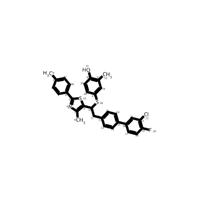 Cc1ccc(-c2nc(C)c(C(Cc3ccc(-c4ccc(F)c(Cl)c4)cc3)Sc3ccc(O)c(C)c3)s2)cc1